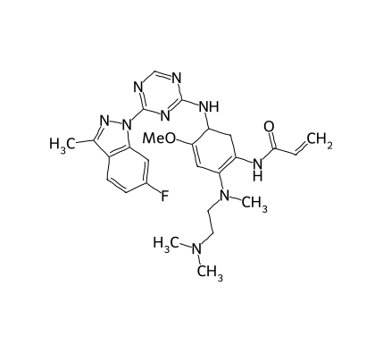 C=CC(=O)NC1=C(N(C)CCN(C)C)C=C(OC)C(Nc2ncnc(-n3nc(C)c4ccc(F)cc43)n2)C1